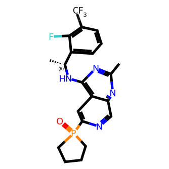 Cc1nc(N[C@H](C)c2cccc(C(F)(F)F)c2F)c2cc(P3(=O)CCCC3)ncc2n1